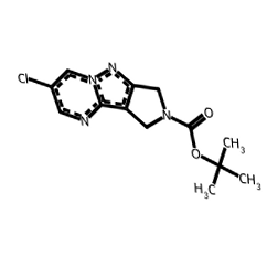 CC(C)(C)OC(=O)N1Cc2nn3cc(Cl)cnc3c2C1